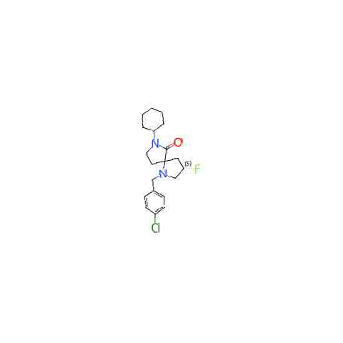 O=C1N(C2CCCCC2)CCC12C[C@H](F)CN2Cc1ccc(Cl)cc1